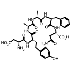 C[C@H](NC(=O)[C@H](C)NC(=O)[C@H](CCc1ccc(O)cc1)NC(=O)[C@@H](N)CC(=O)O)C(=O)N[C@@H](Cc1ccccc1)C(=O)N[C@@H](CC(N)=O)C(=O)O